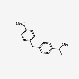 CC(O)c1ccc(Cc2ccc(C=O)cc2)cc1